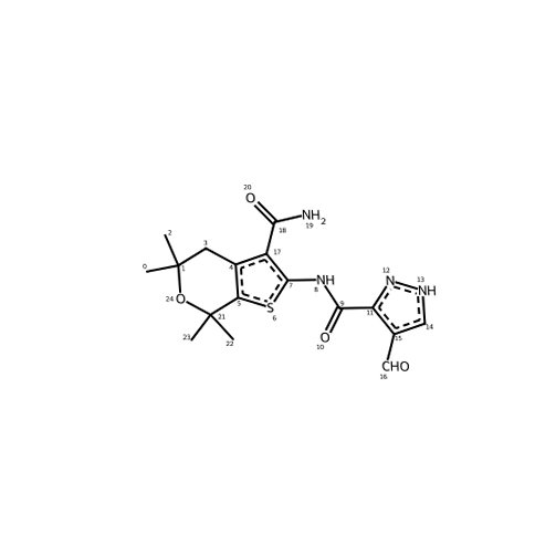 CC1(C)Cc2c(sc(NC(=O)c3n[nH]cc3C=O)c2C(N)=O)C(C)(C)O1